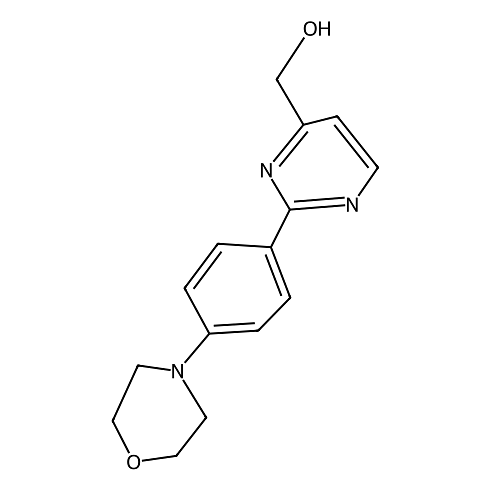 OCc1ccnc(-c2ccc(N3CCOCC3)cc2)n1